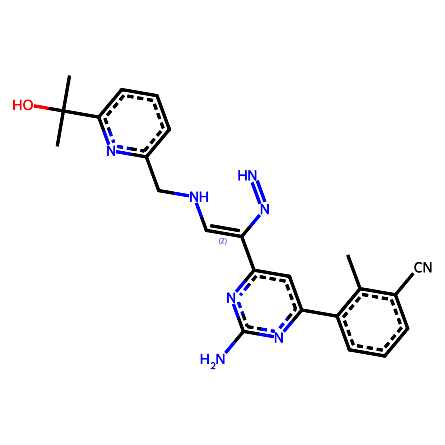 Cc1c(C#N)cccc1-c1cc(/C(=C/NCc2cccc(C(C)(C)O)n2)N=N)nc(N)n1